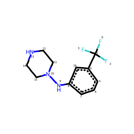 FC(F)(F)c1cccc(NN2CCNCC2)c1